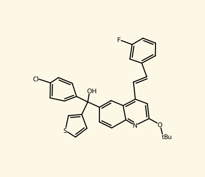 CC(C)(C)Oc1cc(/C=C/c2cccc(F)c2)c2cc(C(O)(c3ccc(Cl)cc3)c3ccsc3)ccc2n1